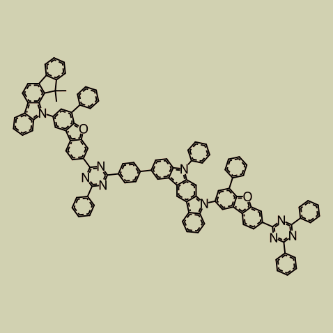 CC1(C)c2ccccc2-c2ccc3c4ccccc4n(-c4cc(-c5ccccc5)c5oc6cc(-c7nc(-c8ccccc8)nc(-c8ccc(-c9ccc%10c(c9)c9cc%11c%12ccccc%12n(-c%12cc(-c%13ccccc%13)c%13oc%14cc(-c%15nc(-c%16ccccc%16)nc(-c%16ccccc%16)n%15)ccc%14c%13c%12)c%11cc9n%10-c9ccccc9)cc8)n7)ccc6c5c4)c3c21